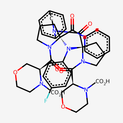 O=C(O)N1CCOC[C@H]1C(=O)N1CCC[C@]1(C(=O)N1Cc2ccc1cc2)N(c1ccc(F)cc1)[C@@]1(C(=O)N2Cc3ccc2cc3)CCCN1C(=O)[C@@H]1COCCN1C(=O)O